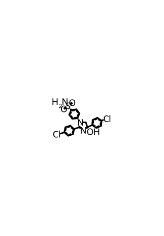 NS(=O)(=O)c1ccc(N2CC(O)(c3ccc(Cl)cc3)N=C2c2ccc(Cl)cc2)cc1